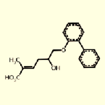 CC(=CCC(O)COc1ccccc1-c1ccccc1)C(=O)O